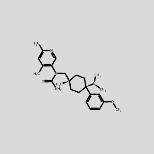 Cc1cc(C(F)(F)F)ncc1N(C[C@]1(C)CC[C@@](c2cccc(OC(F)(F)F)c2)(N(C)C)CC1)C(N)=O